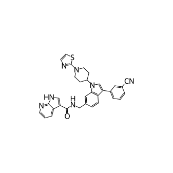 N#Cc1cccc(-c2cn(C3CCN(c4nccs4)CC3)c3cc(CNC(=O)c4c[nH]c5ncccc45)ccc23)c1